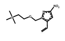 C=Cc1cc([N+](=O)[O-])nn1COCC[Si](C)(C)C